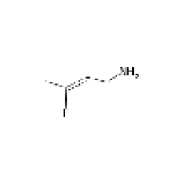 C/C(F)=C/CN